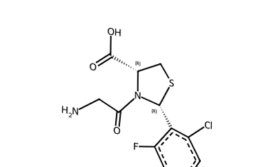 NCC(=O)N1[C@@H](c2c(F)cccc2Cl)SC[C@H]1C(=O)O